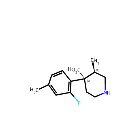 Cc1ccc([C@]2(C(=O)O)CCNC[C@@H]2C)c(F)c1